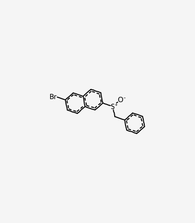 [O-][S+](Cc1ccccc1)c1ccc2cc(Br)ccc2c1